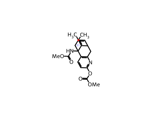 C/C=C1\C2C=C(C)CC1(NC(=O)OC)c1ccc(OC(=O)OC)nc1C2